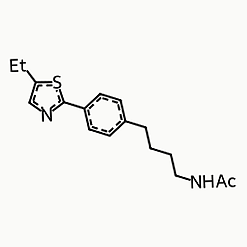 CCc1cnc(-c2ccc(CCCCNC(C)=O)cc2)s1